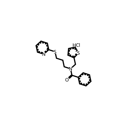 Cl.O=C(c1ccccc1)N(CCCSc1ccccn1)Cc1cccs1